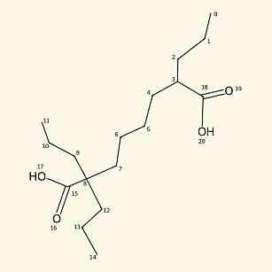 CCCC(CCCCC(CCC)(CCC)C(=O)O)C(=O)O